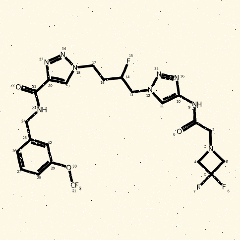 O=C(CN1CC(F)(F)C1)Nc1cn(CC(F)CCn2cc(C(=O)NCc3cccc(OC(F)(F)F)c3)nn2)nn1